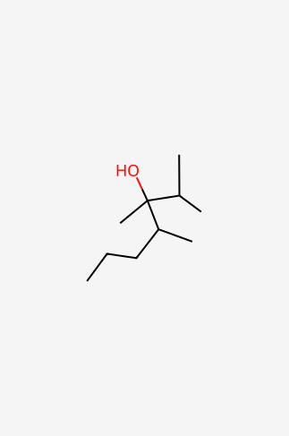 CCCC(C)C(C)(O)C(C)C